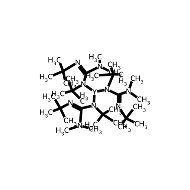 CN(C)C(=NC(C)(C)C)[N]([Y]([N](C(=NC(C)(C)C)N(C)C)C(C)(C)C)[N](C(=NC(C)(C)C)N(C)C)C(C)(C)C)C(C)(C)C